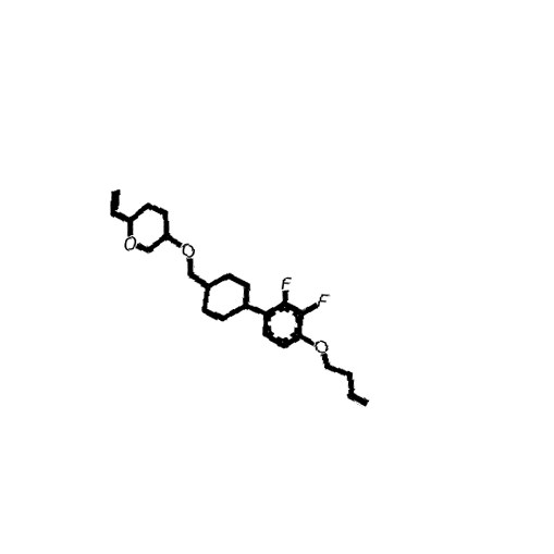 C=CC1CCC(OCC2CCC(c3ccc(OCCCC)c(F)c3F)CC2)CO1